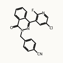 N#Cc1ccc(Cn2nc(-c3cc(Cl)cnc3F)c3ccccc3c2=O)cc1